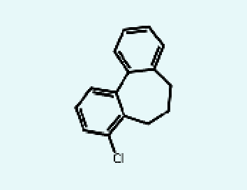 Clc1cccc2c1CCCc1ccccc1-2